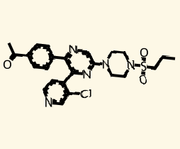 CCCS(=O)(=O)N1CCN(c2cnc(-c3ccc(C(C)=O)cc3)c(-c3ccncc3Cl)n2)CC1